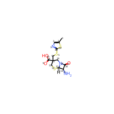 Cc1cnc(SCC2(C(=O)O)CS[C@@H]3C(N)C(=O)N3C2)s1